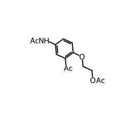 CC(=O)Nc1ccc(OCCOC(C)=O)c(C(C)=O)c1